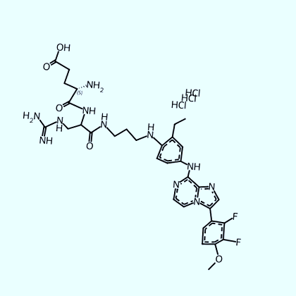 CCc1cc(Nc2nccn3c(-c4ccc(OC)c(F)c4F)cnc23)ccc1NCCCNC(=O)C(CNC(=N)N)NC(=O)[C@@H](N)CCC(=O)O.Cl.Cl.Cl